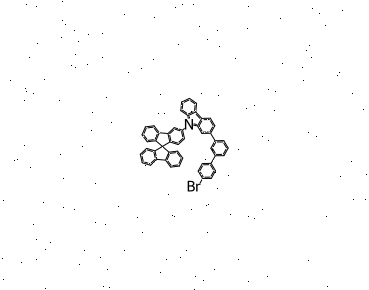 Brc1ccc(-c2cccc(-c3ccc4c5ccccc5n(-c5ccc6c(c5)-c5ccccc5C65c6ccccc6-c6ccccc65)c4c3)c2)cc1